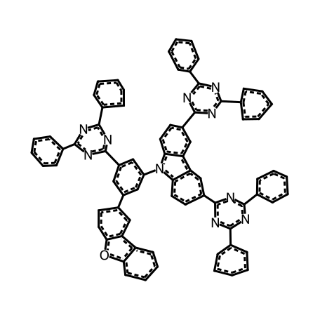 c1ccc(-c2nc(-c3ccccc3)nc(-c3cc(-c4ccc5oc6ccccc6c5c4)cc(-n4c5ccc(-c6nc(-c7ccccc7)nc(-c7ccccc7)n6)cc5c5cc(-c6nc(-c7ccccc7)nc(-c7ccccc7)n6)ccc54)c3)n2)cc1